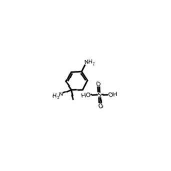 CC1(N)C=CC(N)=CC1.O=S(=O)(O)O